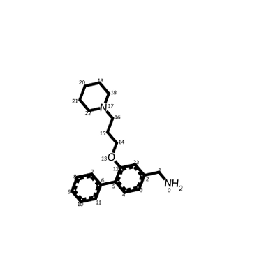 NCc1ccc(-c2ccccc2)c(OCCCN2CCCCC2)c1